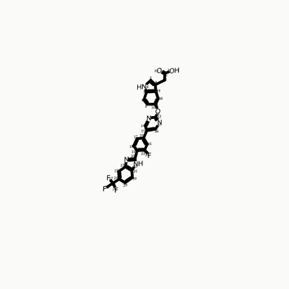 O=C(O)Cc1c[nH]c2ccc(Oc3ncc(-c4ccc(-c5nc6cc(C(F)(F)F)ccc6[nH]5)c(F)c4)cn3)cc12